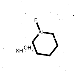 O.[F][Al]1[CH2]CCC[CH2]1.[KH]